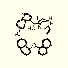 C=C[C@H]1C[N@]2CC[C@H]1C[C@@H]2[C@@H](O)c1ccnc2ccc(OC)cc12.c1ccc2c(Oc3cccc4ccccc34)cccc2c1